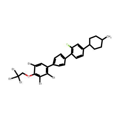 CCc1cc(-c2ccc(-c3ccc(C4CCC(C)CC4)cc3F)cc2)c(CC)c(CC)c1OCC(CC)(CC)CC